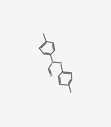 [CH2]c1ccc(N(C=O)Oc2ccc(F)cc2)cc1